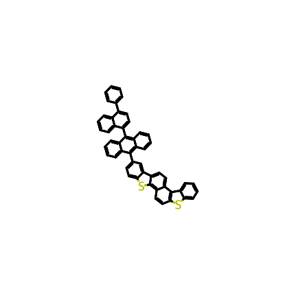 c1ccc(-c2ccc(-c3c4ccccc4c(-c4ccc5sc6c(ccc7c6ccc6sc8ccccc8c67)c5c4)c4ccccc34)c3ccccc23)cc1